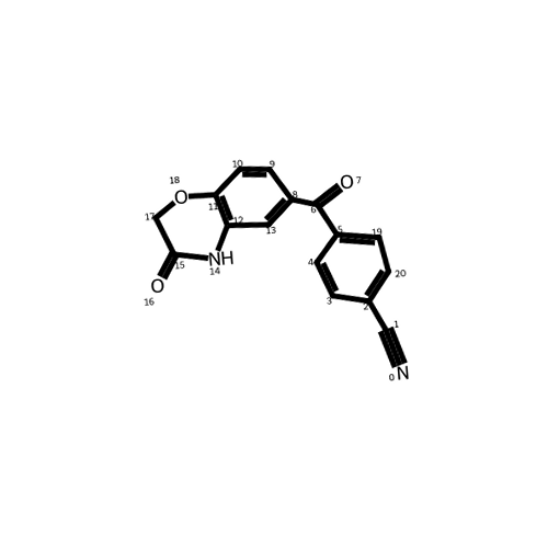 N#Cc1ccc(C(=O)c2ccc3c(c2)NC(=O)CO3)cc1